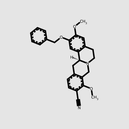 COc1cc2c(cc1OCc1ccccc1)[C@@H]1Cc3ccc(C#N)c(OC)c3CN1CC2